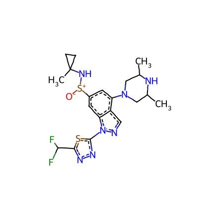 CC1CN(c2cc([S+]([O-])NC3(C)CC3)cc3c2cnn3-c2nnc(C(F)F)s2)CC(C)N1